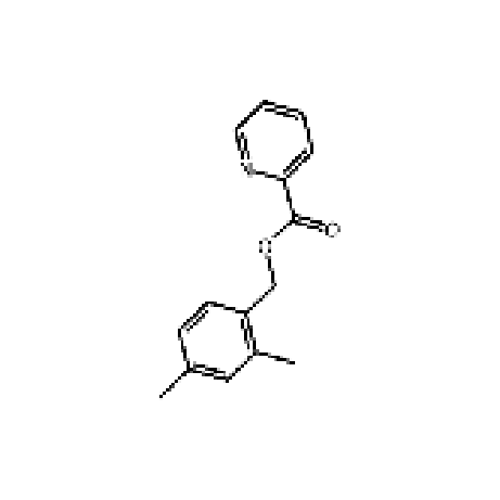 Cc1ccc(COC(=O)c2ccccn2)c(C)c1